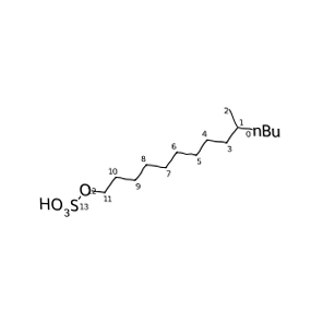 CCCCC(C)CCCCCCCCCOS(=O)(=O)O